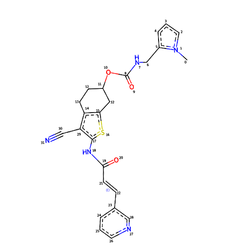 Cn1cccc1CNC(=O)OC1CCc2c(sc(NC(=O)/C=C/c3cccnc3)c2C#N)C1